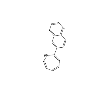 C1=CC=C(c2ccc3ncccc3c2)NC=C1